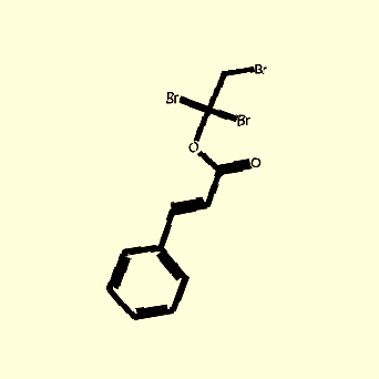 O=C(/C=C/c1ccccc1)OC(Br)(Br)CBr